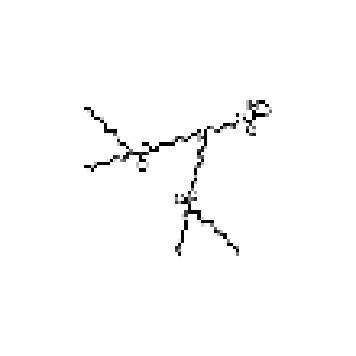 CCCCCCCCC(CCCCCC)C(=O)OCCCCCCN(CCCCCCOC(=O)C(CCCCCC)CCCCCCCC)CCCCOC(=O)c1cnc[nH]1